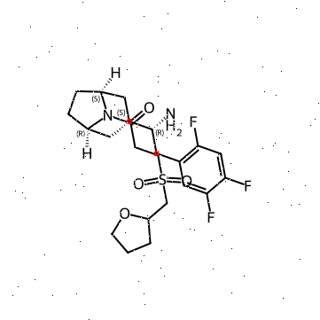 N[C@H](Cc1cc(F)c(F)cc1F)[C@@H]1C[C@H]2CC[C@@H](C1)N2C(=O)CCS(=O)(=O)CC1CCCO1